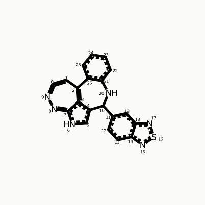 C1=CC2=c3c(c[nH]c3=NN=1)C(c1ccc3nsnc3c1)Nc1ccccc12